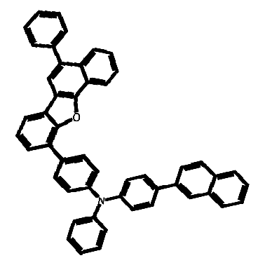 c1ccc(-c2cc3c4cccc(-c5ccc(N(c6ccccc6)c6ccc(-c7ccc8ccccc8c7)cc6)cc5)c4oc3c3ccccc23)cc1